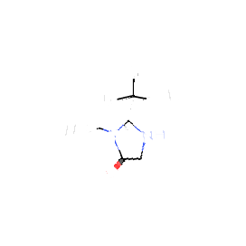 CN1C(=O)CN[C@H]1C(C)(C)C